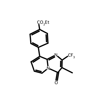 CCOC(=O)c1ccc(-c2cccn3c(=O)c(C)c(C(F)(F)F)nc23)cc1